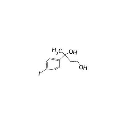 CC(O)(CCO)c1ccc(I)cc1